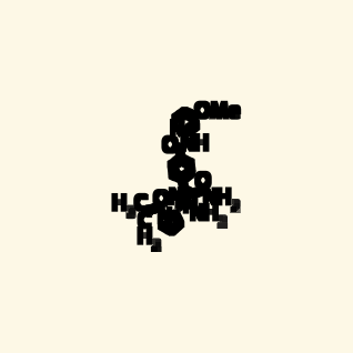 C=C(C)C(=O)N1CCC[C@H]1c1nc(-c2ccc(C(=O)Nc3cc(OC)ccn3)cc2)c(C(N)=O)n1N